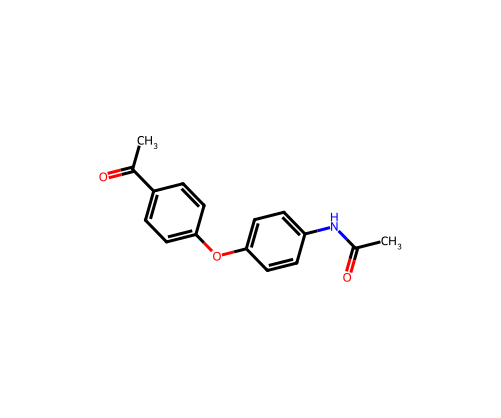 CC(=O)Nc1ccc(Oc2ccc(C(C)=O)cc2)cc1